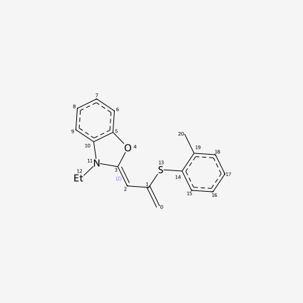 C=C(/C=C1\Oc2ccccc2N1CC)Sc1ccccc1C